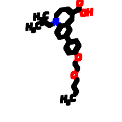 CCCCOCCOc1ccc(C2=CC3=CC(C(=O)O)=CCCN(CC(C)C)C3=CC2)cc1